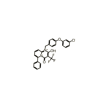 O=c1c(C(F)(F)F)c(O)[n+](Cc2ccc(Oc3cccc(Cl)c3)cc2)c2cccc(-c3ccccc3)n12